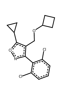 Clc1cccc(Cl)c1-c1noc(C2CC2)c1COC1CCC1